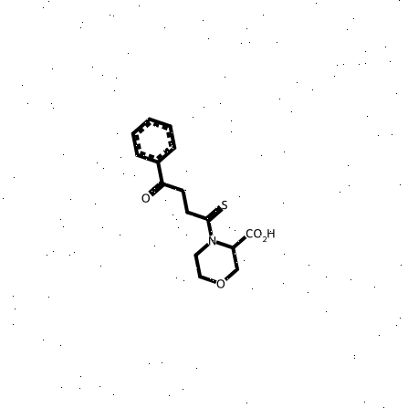 O=C(CCC(=S)N1CCOCC1C(=O)O)c1ccccc1